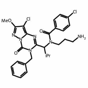 COc1nn2c(=O)n(Cc3ccccc3)c(C(C(C)C)N(CCCN)C(=O)c3ccc(Cl)cc3)nc2c1Cl